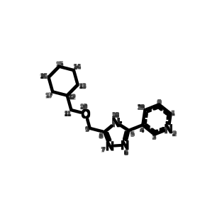 c1cncc(C2=NN=C(COCC3CCCCC3)[N]2)c1